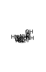 Cc1c2c(cc3c1[nH]c1ccc(O)cc13)C(/C(N)=C(/C=N)[N+](=O)[O-])NC=C2